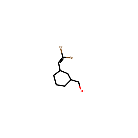 OCC1CCCC(C=C(Br)Br)C1